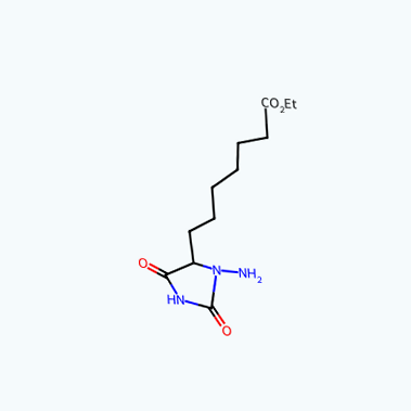 CCOC(=O)CCCCCCC1C(=O)NC(=O)N1N